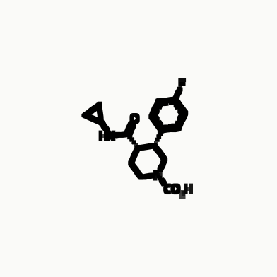 O=C(NC1CC1)[C@H]1CCN(C(=O)O)C[C@H]1c1ccc(F)cc1